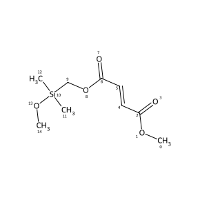 COC(=O)/C=C/C(=O)OC[Si](C)(C)OC